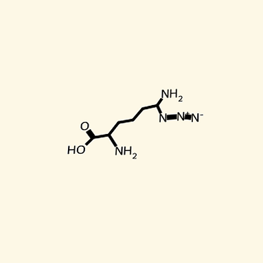 [N-]=[N+]=NC(N)CCCC(N)C(=O)O